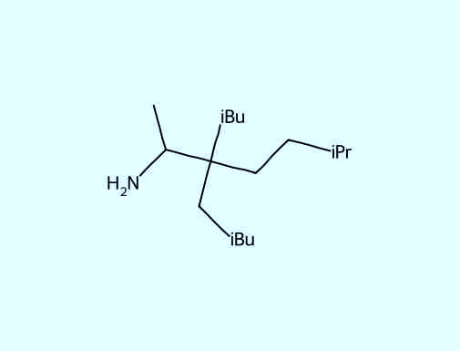 CCC(C)CC(CCC(C)C)(C(C)N)C(C)CC